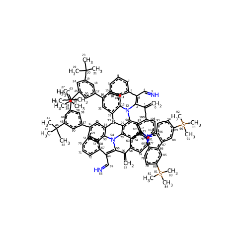 C=C(/C(=C(\C=N)c1ccccc1)N1c2ccc(-c3cc(C(C)(C)C)cc(C(C)(C)C)c3)cc2B2c3cc(-c4cc(C(C)(C)C)cc(C(C)(C)C)c4)ccc3N(/C(C(=C)c3ccccc3)=C(/C=N)c3ccccc3)c3cc(-n4c5ccc(S(C)(C)C)cc5c5cc(S(C)(C)C)ccc54)cc1c32)c1ccccc1